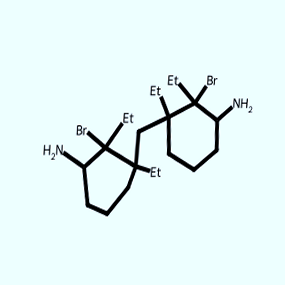 CCC1(CC2(CC)CCCC(N)C2(Br)CC)CCCC(N)C1(Br)CC